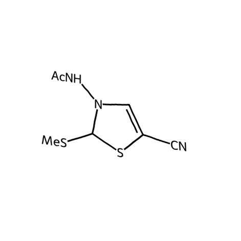 CSC1SC(C#N)=CN1NC(C)=O